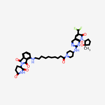 C[C@@]1(O)CCC[C@H]1n1c(=O)c(C(F)F)cc2cnc(NC3CCN(C(=O)CCCCCCCCCNc4cccc5c4C(=O)N(C4CCC(=O)NC4=O)C5=O)CC3)nc21